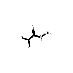 CC(C)C(=O)N[SiH3]